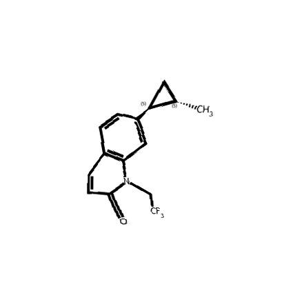 C[C@H]1C[C@@H]1c1ccc2ccc(=O)n(CC(F)(F)F)c2c1